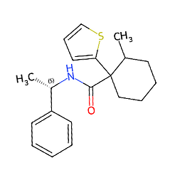 CC1CCCCC1(C(=O)N[C@@H](C)c1ccccc1)c1cccs1